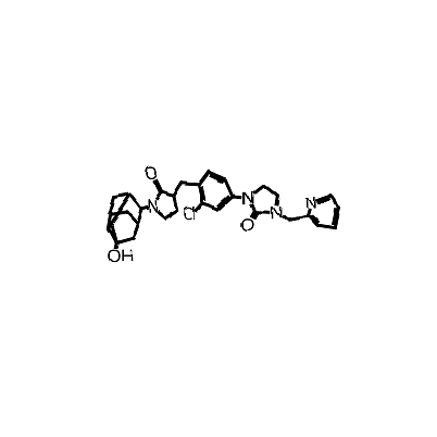 O=C1N(Cc2ccccn2)CCN1c1ccc(CC2CCN(C3C4CC5CC3CC(O)(C5)C4)C2=O)c(Cl)c1